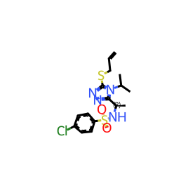 C=CCSc1nnc([C@@H](C)NS(=O)(=O)c2ccc(Cl)cc2)n1C(C)C